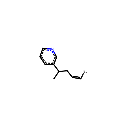 CC/C=C\CC(C)c1cccnc1